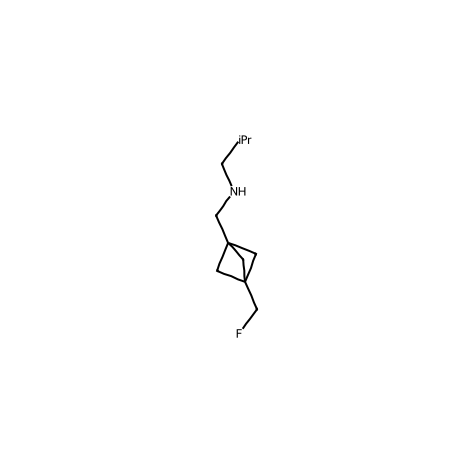 CC(C)CNCC12CC(CF)(C1)C2